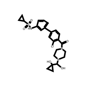 O=C(c1ccc(-c2cccc(NS(=O)(=O)C3CC3)c2)cc1Cl)N1CCN(C(O)C2(O)CC2)CC1